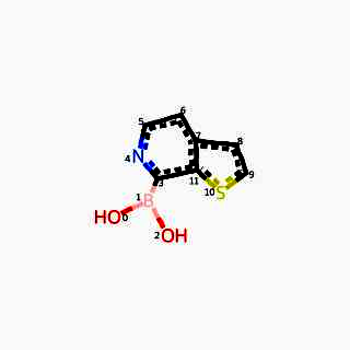 OB(O)c1nccc2ccsc12